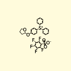 O=S(=O)([O-])c1c(F)c(F)c(F)c(F)c1F.c1ccc([S+](c2ccccc2)c2ccc(OC3CCCO3)cc2)cc1